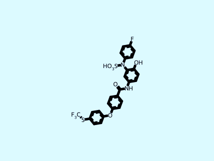 O=C(Nc1ccc(O)c(N(c2ccc(F)cc2)S(=O)(=O)O)c1)c1ccc(Oc2ccc(SC(F)(F)F)cc2)cc1